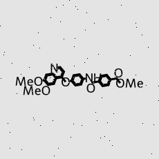 COC(=O)c1ccc(C(=O)Nc2ccc(Oc3ccnc4cc(OC)c(OC)cc34)cc2)cc1